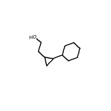 OCCC1CC1C1CCCCC1